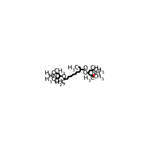 C=C(CCCCCCCC(CC)C(=O)OC1CC(C)(C)NC(C)(C)C1)OC1CC(C)(C)NC(C)(C)C1